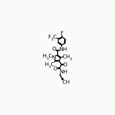 C#CCNC(=O)C(=O)c1c(C)c(C(=O)Nc2ccc(F)c(C(F)(F)F)c2)n(C)c1C